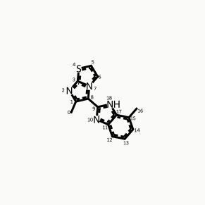 Cc1nc2sccn2c1-c1nc2cccc(C)c2[nH]1